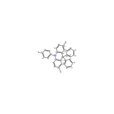 Cc1ccc(N2c3ccc(C)cc3C(c3ccccc3)(c3ccccc3)c3cc(C)ccc32)cc1